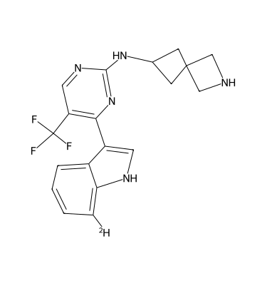 [2H]c1cccc2c(-c3nc(NC4CC5(CNC5)C4)ncc3C(F)(F)F)c[nH]c12